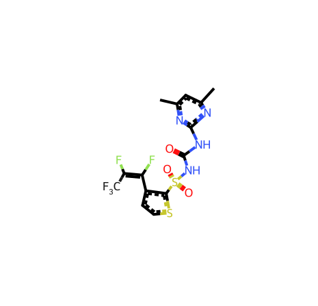 Cc1cc(C)nc(NC(=O)NS(=O)(=O)c2sccc2/C(F)=C(/F)C(F)(F)F)n1